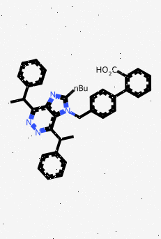 CCCCc1nc2c(C(C)c3ccccc3)nnc(C(C)c3ccccc3)c2n1Cc1ccc(-c2ccccc2C(=O)O)cc1